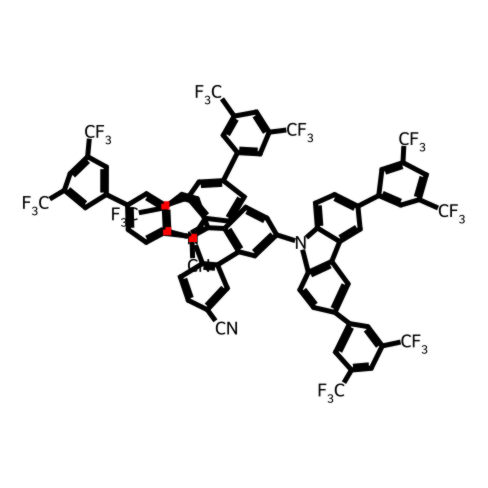 N#Cc1ccc(-n2c3ccc(-c4cc(C(F)(F)F)cc(C(F)(F)F)c4)cc3c3cc(-c4cc(C(F)(F)F)cc(C(F)(F)F)c4)ccc32)c(-c2cc(-n3c4ccc(-c5cc(C(F)(F)F)cc(C(F)(F)F)c5)cc4c4cc(-c5cc(C(F)(F)F)cc(C(F)(F)F)c5)ccc43)ccc2-c2ccc(C(F)(F)F)cc2C#N)c1